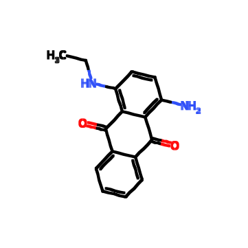 CCNc1ccc(N)c2c1C(=O)c1ccccc1C2=O